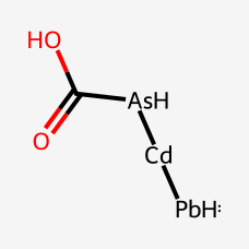 O=C(O)[AsH][Cd][PbH]